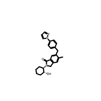 Cc1cc2c(cc1Cc1ccc(-n3cccn3)cc1)C(=O)N([C@@H]1CCCC[C@H]1O)C2